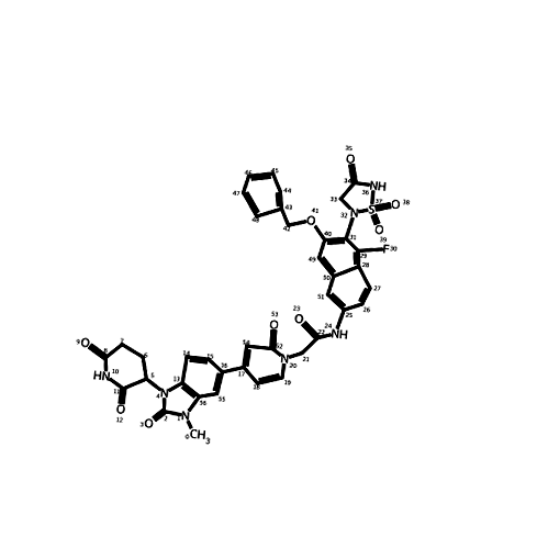 Cn1c(=O)n(C2CCC(=O)NC2=O)c2ccc(-c3ccn(CC(=O)Nc4ccc5c(F)c(N6CC(=O)NS6(=O)=O)c(OCc6ccccc6)cc5c4)c(=O)c3)cc21